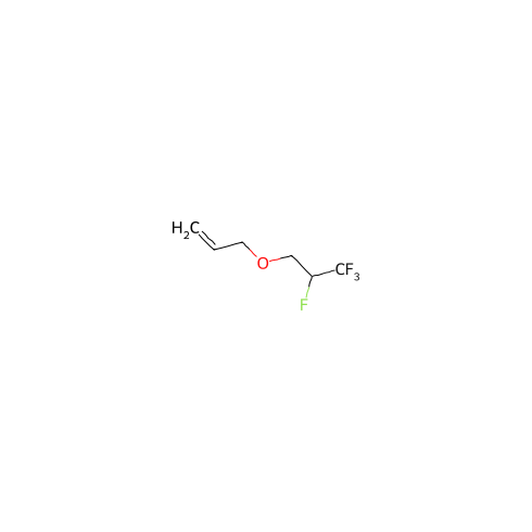 C=CCOCC(F)C(F)(F)F